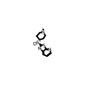 CN1CCC([S+]([O-])c2nc3cccnc3s2)CC1